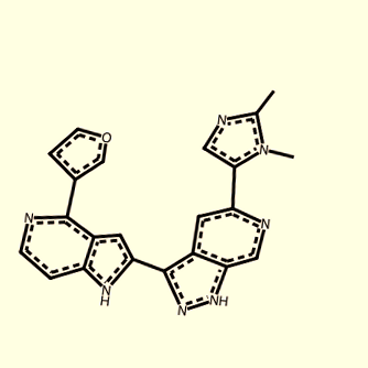 Cc1ncc(-c2cc3c(-c4cc5c(-c6ccoc6)nccc5[nH]4)n[nH]c3cn2)n1C